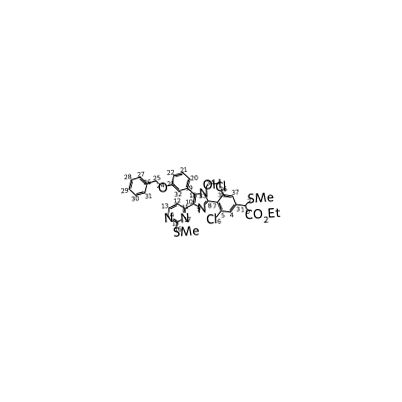 CCOC(=O)C(SC)c1cc(Cl)c(-c2nc(-c3ccnc(SC)n3)c(-c3cccc(OCc4ccccc4)c3)n2O)c(Cl)c1